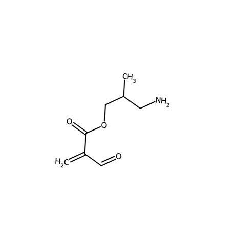 C=C(C=O)C(=O)OCC(C)CN